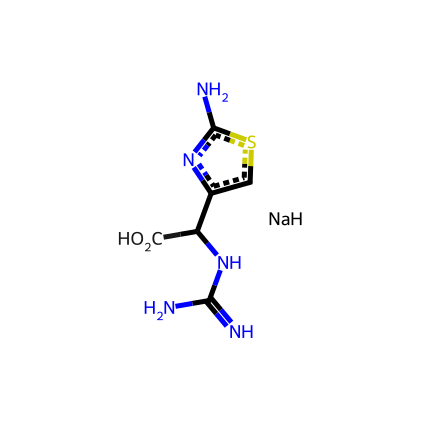 N=C(N)NC(C(=O)O)c1csc(N)n1.[NaH]